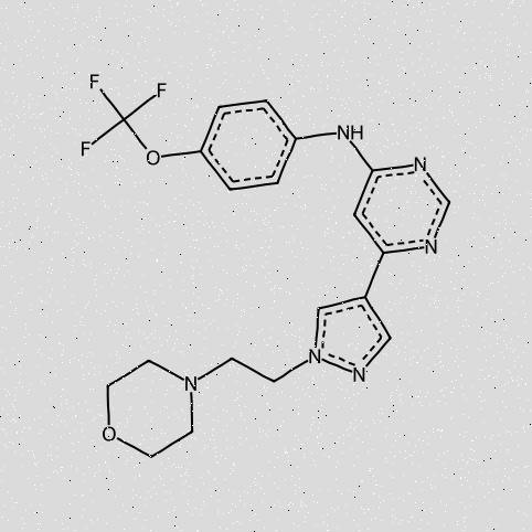 FC(F)(F)Oc1ccc(Nc2cc(-c3cnn(CCN4CCOCC4)c3)ncn2)cc1